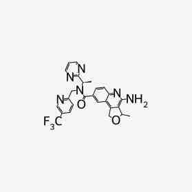 CC1OCc2c1c(N)nc1ccc(C(=O)N(Cc3ccc(C(F)(F)F)cn3)[C@H](C)c3ncccn3)cc21